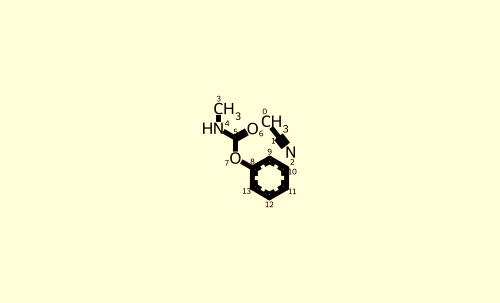 CC#N.CNC(=O)Oc1ccccc1